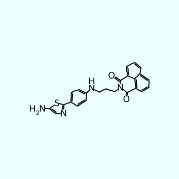 Nc1cnc(-c2ccc(NCCCN3C(=O)c4cccc5cccc(c45)C3=O)cc2)s1